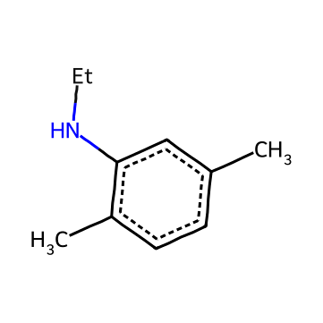 CCNc1cc(C)ccc1C